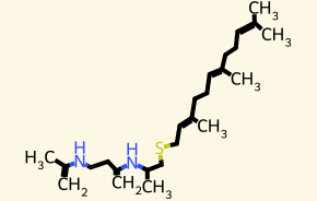 C=C(C)NCCC(=C)NC(C)CSC/C=C(\C)CC/C=C(\C)CCC=C(C)C